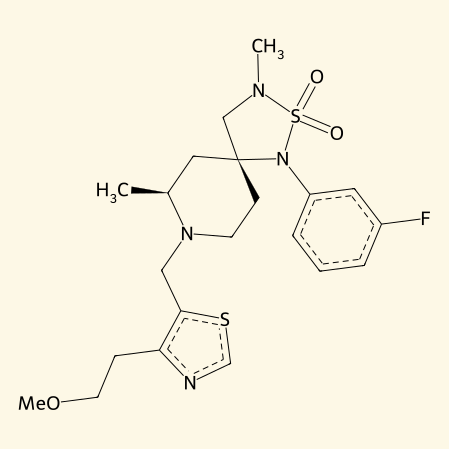 COCCc1ncsc1CN1CC[C@@]2(C[C@@H]1C)CN(C)S(=O)(=O)N2c1cccc(F)c1